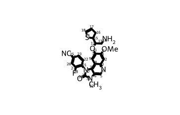 COc1cc2ncc3c(c2cc1OC(CN)C1CC=CS1)n(-c1ccc(C#N)cc1F)c(=O)n3C